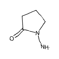 [NH]N1CCCC1=O